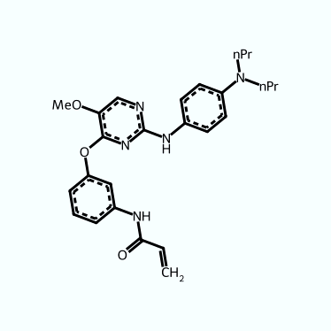 C=CC(=O)Nc1cccc(Oc2nc(Nc3ccc(N(CCC)CCC)cc3)ncc2OC)c1